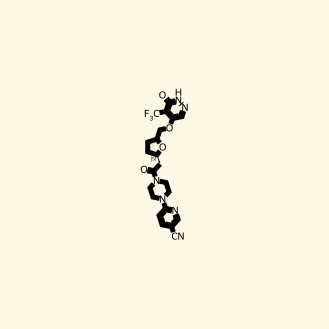 N#Cc1ccc(N2CCN(C(=O)C[C@@H]3CCC(COc4cn[nH]c(=O)c4C(F)(F)F)O3)CC2)nc1